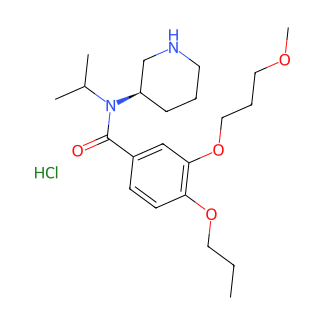 CCCOc1ccc(C(=O)N(C(C)C)[C@@H]2CCCNC2)cc1OCCCOC.Cl